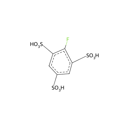 O=S(=O)(O)c1cc(S(=O)(=O)O)c(F)c(S(=O)(=O)O)c1